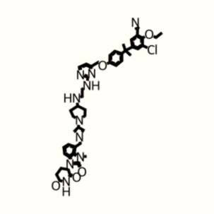 CCOc1c(Cl)cc(C(C)(C)c2ccc(OCc3ccnc(NCCNC4CCN(C5CN(Cc6cccc7c6n(C)c(=O)n7C6CCC(=O)NC6=O)C5)CC4)n3)cc2)cc1C#N